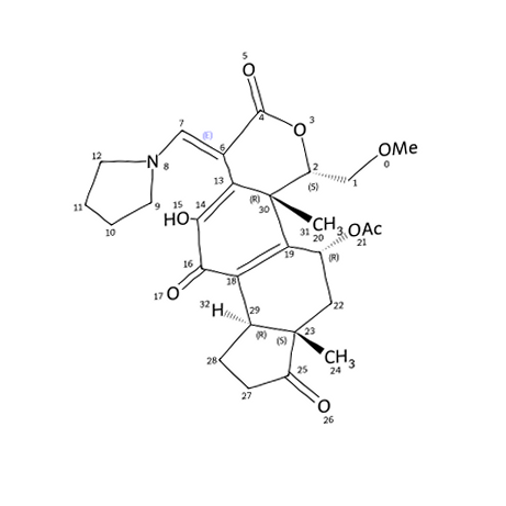 COC[C@H]1OC(=O)/C(=C/N2CCCC2)C2=C(O)C(=O)C3=C([C@H](OC(C)=O)C[C@]4(C)C(=O)CC[C@@H]34)[C@]21C